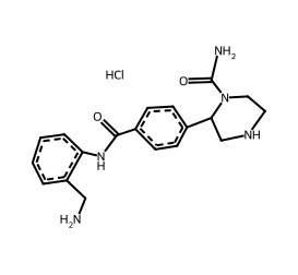 Cl.NCc1ccccc1NC(=O)c1ccc(C2CNCCN2C(N)=O)cc1